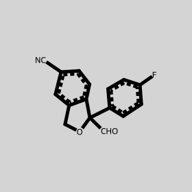 N#Cc1ccc2c(c1)COC2(C=O)c1ccc(F)cc1